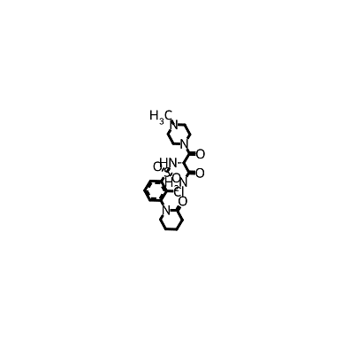 CN1CCN(C(=O)[C@@H](NS(=O)(=O)c2cccc(N3CCCCC3=O)c2Cl)C(N)=O)CC1